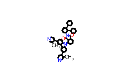 Cc1cnccc1-c1ccc2c(c1)c1cc(-c3ccncc3C)ccc1n2-c1cccc2c1C(=O)N(c1cccc(-c3ccccc3)c1-c1ccccc1)C2=O